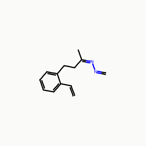 C=Cc1ccccc1CC/C(C)=N\N=C